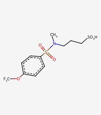 CN(CCCS(=O)(=O)O)S(=O)(=O)c1ccc(OC(F)(F)F)cc1